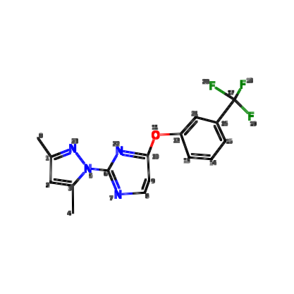 Cc1cc(C)n(-c2nccc(Oc3cccc(C(F)(F)F)c3)n2)n1